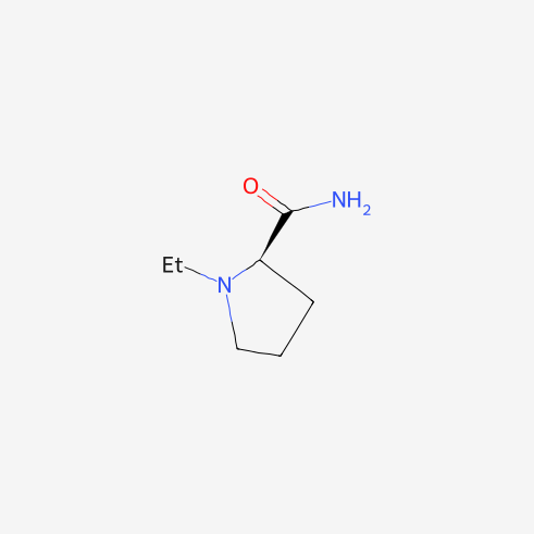 CCN1CCC[C@@H]1C(N)=O